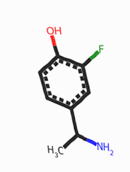 CC(N)c1ccc(O)c(F)c1